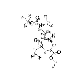 CCOC(=O)C1CN(CC(F)F)C(=O)c2c3c(nn2C1)C[C@@H](C)N(C(=O)OC(C)(C)C)C3